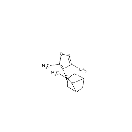 Cc1noc(C)c1CN1C2CC1CN(C)C2